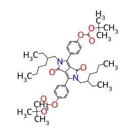 CCCCC(CC)CN1C(=O)C2=C(c3ccc(OC(=O)OC(C)(C)C)cc3)N(CC(CC)CCCC)C(=O)C2=C1c1ccc(OC(=O)OC(C)(C)C)cc1